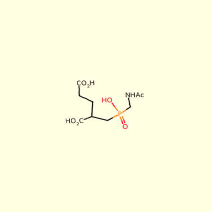 CC(=O)NCP(=O)(O)CC(CCC(=O)O)C(=O)O